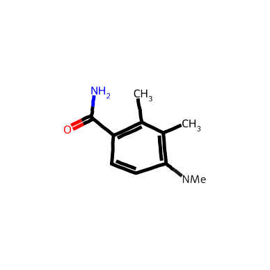 CNc1ccc(C(N)=O)c(C)c1C